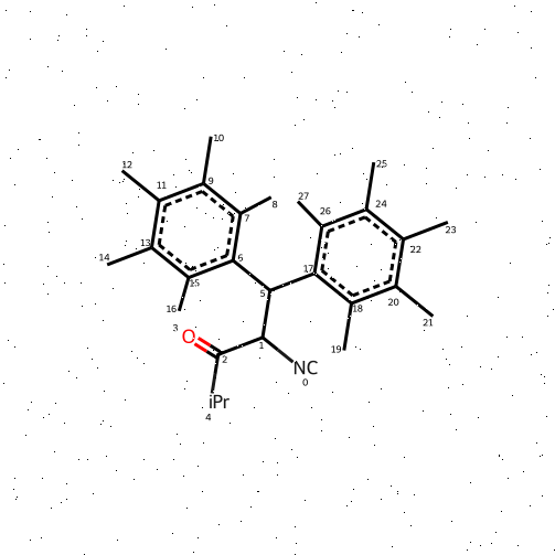 [C-]#[N+]C(C(=O)C(C)C)C(c1c(C)c(C)c(C)c(C)c1C)c1c(C)c(C)c(C)c(C)c1C